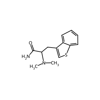 CN(C)C(Cc1csc2ccccc12)C(N)=O